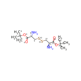 CC(C)(C)OC(=O)C(N)CSSC[C@H](N)C(=O)OC(C)(C)C